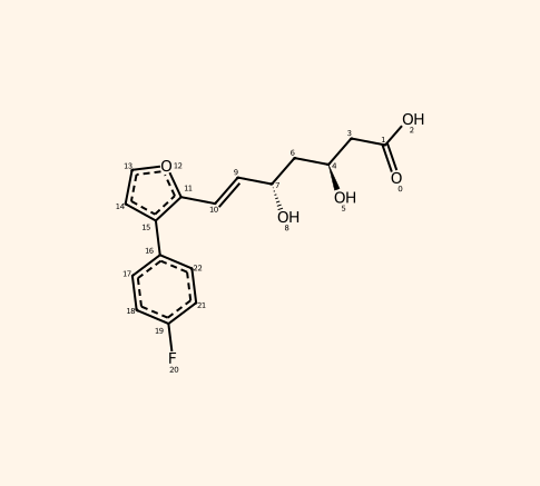 O=C(O)C[C@@H](O)C[C@H](O)/C=C/c1occc1-c1ccc(F)cc1